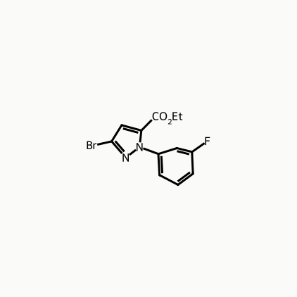 CCOC(=O)c1cc(Br)nn1-c1cccc(F)c1